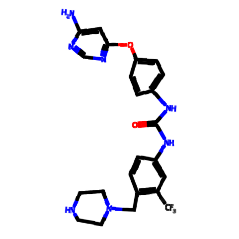 Nc1cc(Oc2ccc(NC(=O)Nc3ccc(CN4CCNCC4)c(C(F)(F)F)c3)cc2)ncn1